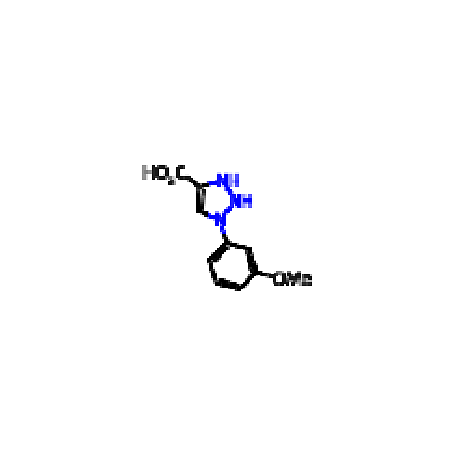 COc1cccc(N2C=C(C(=O)O)NN2)c1